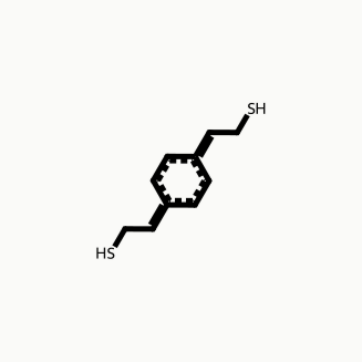 SCC=c1ccc(=CCS)cc1